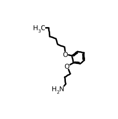 CCCCCCOc1ccccc1OCCCN